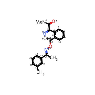 CNC(=O)/C(=N/OC)c1ccccc1CO/N=C(\C)c1cccc(C)c1